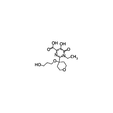 CCn1c(C2(OCCCO)CCOCC2)nc(C(=O)O)c(O)c1=O